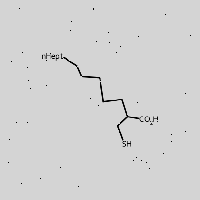 CCCCCCCCCCCCC(CS)C(=O)O